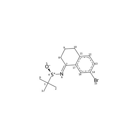 CC(C)(C)[S@@+]([O-])/N=C1\CCCc2ccc(Br)cc21